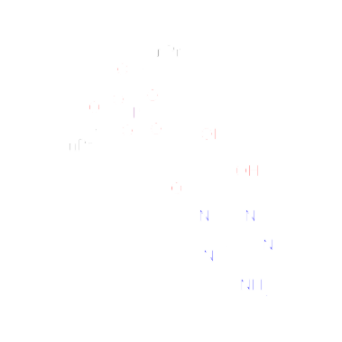 CCCC(=O)OP(=O)(OC[C@H]1O[C@@H](n2cnc3c(N)ncnc32)C(O)C1O)OC(=O)CCC